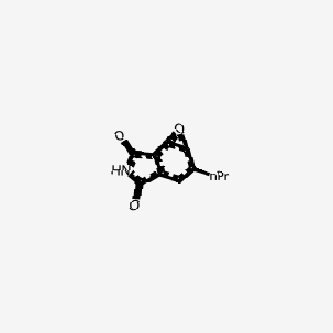 CCCc1cc2c(=O)[nH]c(=O)c2c2oc12